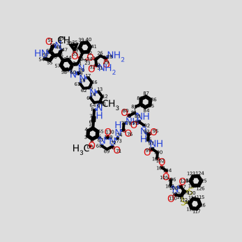 COc1ccc(C#CCNC2(C)CCN(C3CCN(c4nc([C@@](COC(CC(N)=O)C(N)=O)(OC5CC5)c5ccccc5)c5cc(-c6cn(C)c(=O)c7[nH]ccc67)ccc5n4)CC3)CC2)cc1N1CCC(=O)N(CNC(=O)CNC(=O)[C@H](Cc2ccccc2)NC(=O)CNC(=O)CNC(=O)CCOCCOCCN2C(=O)C(Sc3ccccc3)=C(Sc3ccccc3)C2=O)C1=O